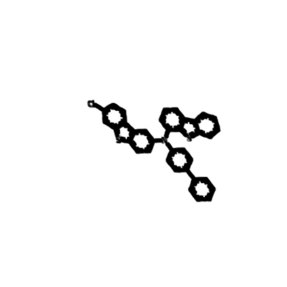 Clc1ccc2c(c1)sc1ccc(N(c3ccc(-c4ccccc4)cc3)c3cccc4c3sc3ccccc34)cc12